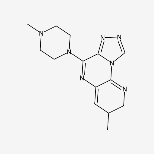 CC1C=c2nc(N3CCN(C)CC3)c3nncn3c2=NC1